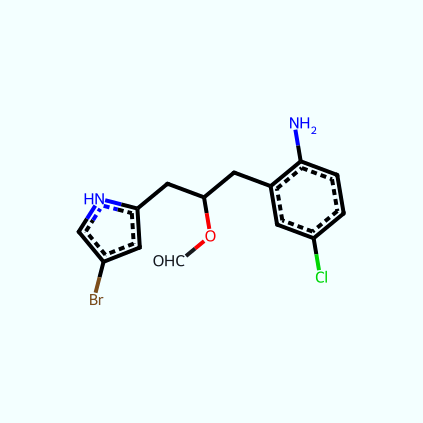 Nc1ccc(Cl)cc1CC(Cc1cc(Br)c[nH]1)OC=O